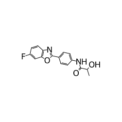 CC(O)C(=O)Nc1ccc(-c2nc3ccc(F)cc3o2)cc1